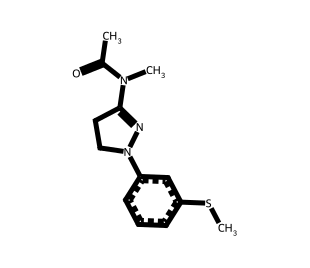 CSc1cccc(N2CCC(N(C)C(C)=O)=N2)c1